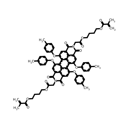 C=C(C)C(=O)OCCCCOC(=O)CN1C(=O)c2cc(Oc3ccc(C)cc3)c3c4c(Oc5ccc(C)cc5)cc5c6c(cc(Oc7ccc(C)cc7)c(c7c(Oc8ccc(C)cc8)cc(c2c37)C1=O)c64)C(=O)N(CC(=O)OCCCCOC(=O)C(=C)C)C5=O